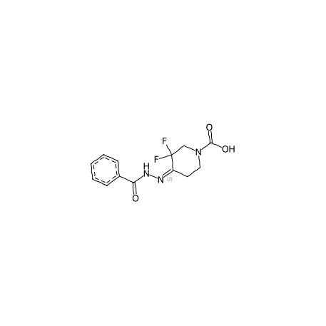 O=C(N/N=C1/CCN(C(=O)O)CC1(F)F)c1ccccc1